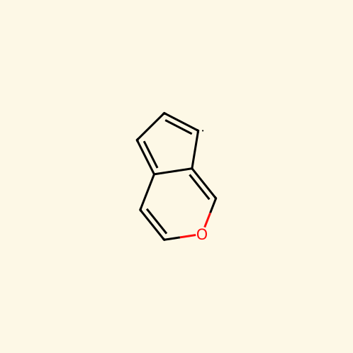 [c]1ccc2ccocc1-2